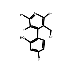 CCc1c(C(C)C)nc(C(C)C)c(CO)c1-c1ccc(F)cc1O